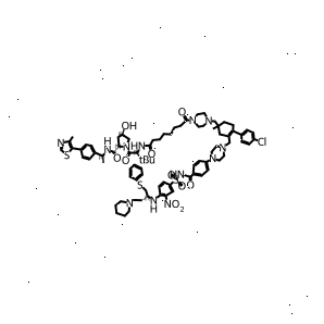 Cc1ncsc1-c1ccc([C@H](C)NC(=O)[C@@H]2C[C@@H](O)CN2C(=O)[C@@H](NC(=O)CCCCCCC(=O)N2CCN(CC3(C)CCC(c4ccc(Cl)cc4)=C(CN4CCN(c5ccc(C(=O)NS(=O)(=O)c6ccc(N[C@H](CCN7CCCCC7)CSc7ccccc7)c([N+](=O)[O-])c6)cc5)CC4)C3)CC2)C(C)(C)C)cc1